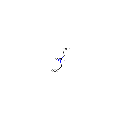 O=C([O-])CNCC(=O)[O-].[SnH2+2]